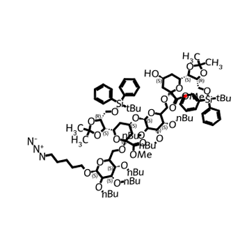 CCCCOC1[C@@H](O[C@H]2CC([C@@H]3OC(C)(C)O[C@@H]3CO[Si](c3ccccc3)(c3ccccc3)C(C)(C)C)O[C@@](OCC3O[C@H](OCCCCCN=[N+]=[N-])C(OCCCC)[C@@H](OCCCC)[C@H]3OCCCC)(C(=O)OC)C2)OC(CO[C@]2(C(=O)OC)C[C@@H](O)CC([C@@H]3OC(C)(C)O[C@@H]3CO[Si](c3ccccc3)(c3ccccc3)C(C)(C)C)O2)[C@H](OCCCC)[C@@H]1OCCCC